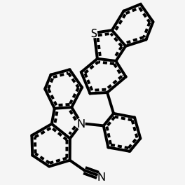 N#Cc1cccc2c3ccccc3n(-c3ccccc3-c3ccc4sc5ccccc5c4c3)c12